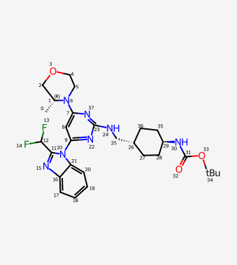 C[C@@H]1COCCN1c1cc(-n2c(C(F)F)nc3ccccc32)nc(NC[C@H]2CC[C@H](NC(=O)OC(C)(C)C)CC2)n1